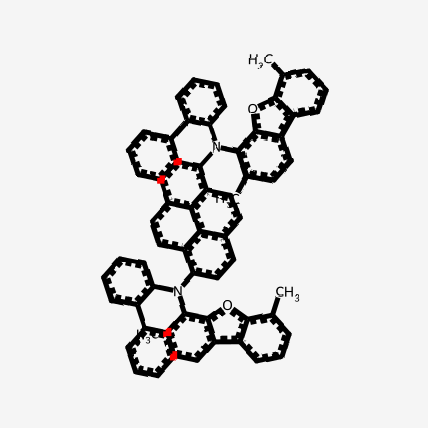 Cc1ccc2c(oc3c(C)cccc32)c1N(c1ccccc1-c1ccccc1)c1ccc2ccc3c(N(c4ccccc4-c4ccccc4)c4c(C)ccc5c4oc4c(C)cccc45)ccc4ccc1c2c43